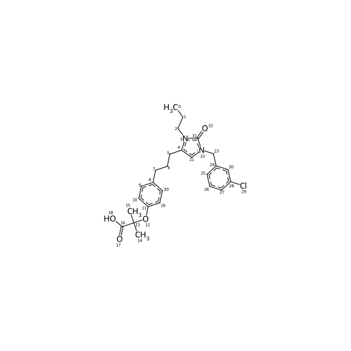 CCCn1c(CCCc2ccc(OC(C)(C)C(=O)O)cc2)cn(Cc2cccc(Cl)c2)c1=O